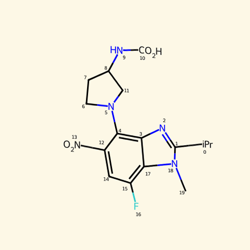 CC(C)c1nc2c(N3CCC(NC(=O)O)C3)c([N+](=O)[O-])cc(F)c2n1C